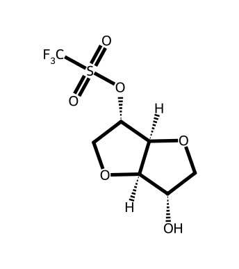 O=S(=O)(O[C@H]1CO[C@H]2[C@@H]1OC[C@@H]2O)C(F)(F)F